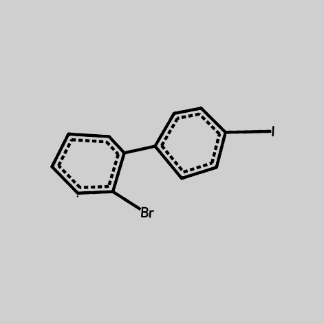 Brc1[c]cccc1-c1ccc(I)cc1